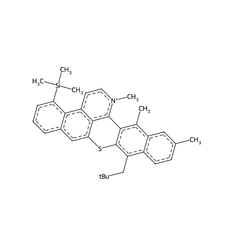 Cc1ccc2c(CC(C)(C)C)c3c(c(C)c2c1)-c1c2c(cc4cccc([Si](C)(C)C)c4c2cc[n+]1C)S3